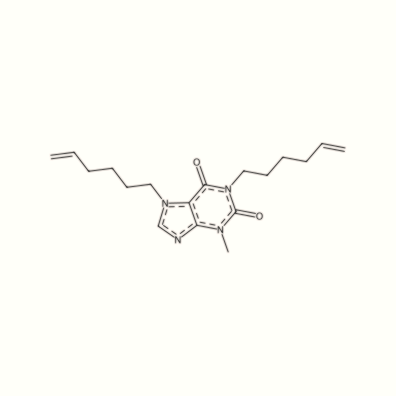 C=CCCCCn1c(=O)c2c(ncn2CCCCC=C)n(C)c1=O